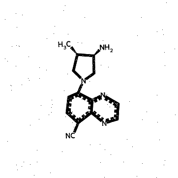 C[C@@H]1CN(c2ccc(C#N)c3nccnc23)C[C@@H]1N